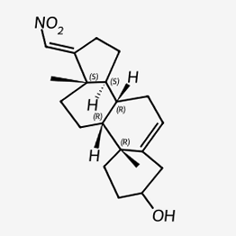 C[C@]12CCC(O)CC1=CC[C@@H]1[C@H]2CC[C@]2(C)C(=C[N+](=O)[O-])CC[C@@H]12